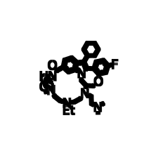 CCN1CCN(CCN(C)C)C2COc3cc(F)ccc3-c3c(C4CCCCC4)c4ccc(cc4n3C2)C(=O)NS(=O)(=O)N(C)CC1